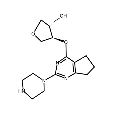 O[C@H]1COC[C@@H]1Oc1nc(N2CCNCC2)nc2c1CCC2